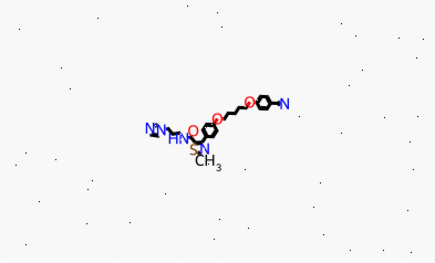 Cc1nc(-c2ccc(OCCCCCOc3ccc(C#N)cc3)cc2)c(C(=O)NCCCn2ccnc2)s1